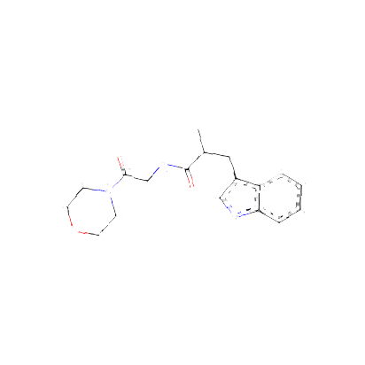 CC(Cc1c[nH]c2ccccc12)C(=O)NCC(=O)N1CCOCC1